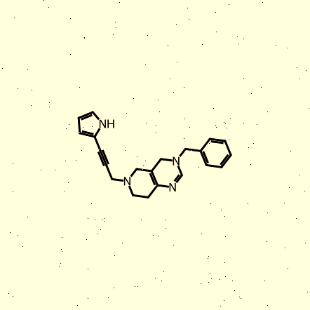 C(#Cc1ccc[nH]1)CN1CCC2=C(CN(Cc3ccccc3)C=N2)C1